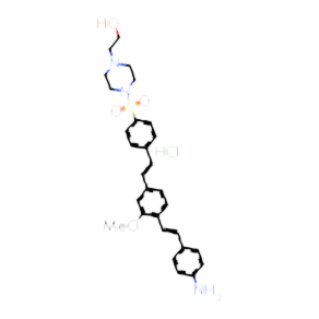 COc1cc(C=Cc2ccc(S(=O)(=O)N3CCN(CCO)CC3)cc2)ccc1C=Cc1ccc(N)cc1.Cl